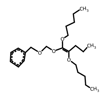 CCCCCOC(CCC)=C(OCCCCC)OCOCc1ccccc1